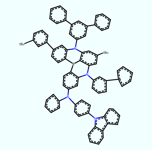 CC(C)(C)c1cccc(-c2ccc3c(c2)N(c2cc(-c4ccccc4)cc(-c4ccccc4)c2)c2cc(C(C)(C)C)cc4c2B3c2ccc(N(c3ccccc3)c3ccc(-n5c6ccccc6c6ccccc65)cc3)cc2N4c2cccc(-c3ccccc3)c2)c1